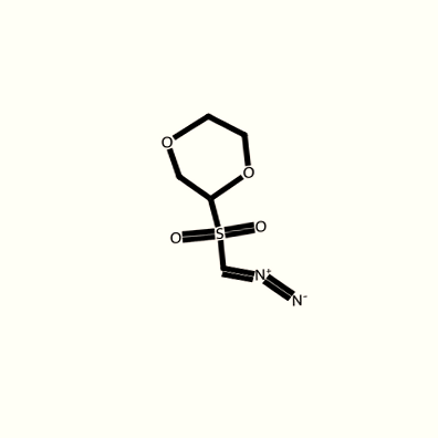 [N-]=[N+]=CS(=O)(=O)C1COCCO1